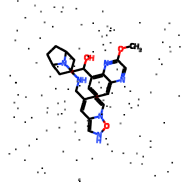 COc1cnc2cccc(C(O)CN3C4CCC3CC(NCC3=CC5=CNON5C=C3)C4)c2n1